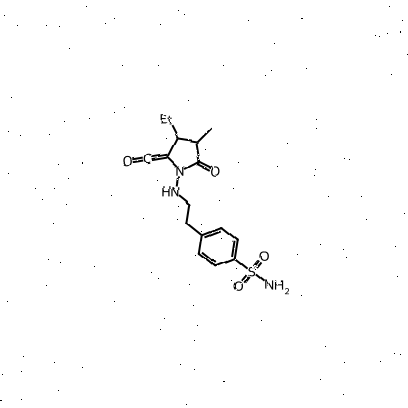 CCC1C(=C=O)N(NCCc2ccc(S(N)(=O)=O)cc2)C(=O)C1C